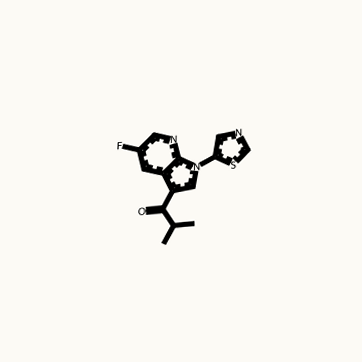 CC(C)C(=O)c1cn(-c2cncs2)c2ncc(F)cc12